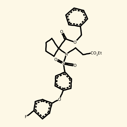 CCOC(=O)CCN(C1(C(=O)OCc2ccccc2)CCCC1)S(=O)(=O)c1ccc(Oc2ccc(F)cc2)cc1